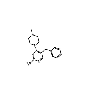 CN1CCN(c2nc(N)ncc2Cc2ccccc2)CC1